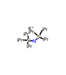 CC(C)[Si]([N-][Si](C(C)C)(C(C)C)C(C)C)(C(C)C)C(C)C.[K+]